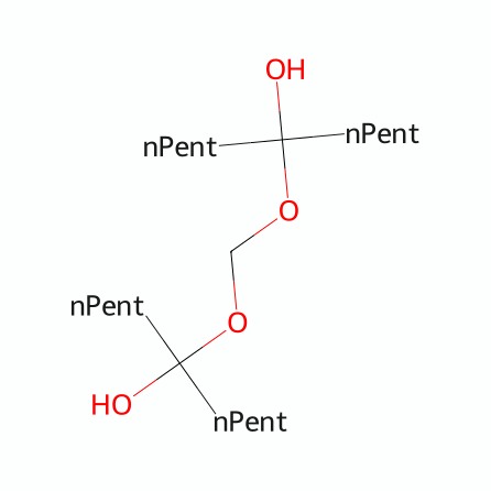 CCCCCC(O)(CCCCC)OCOC(O)(CCCCC)CCCCC